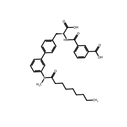 CCCCCCCCC(=O)N(C)c1cccc(-c2ccc(C[C@H](NC(=O)c3cccc(C(=O)O)c3)C(=O)O)cc2)c1